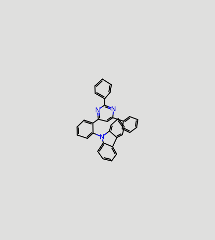 c1ccc(-c2cc(-c3ccccc3-n3c4ccccc4c4ccccc43)nc(-c3ccccc3)n2)cc1